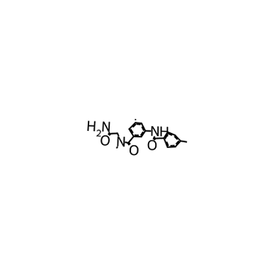 Cc1ccc(C(=O)Nc2c[c]cc(C(=O)N(C)CC(N)=O)c2)cc1